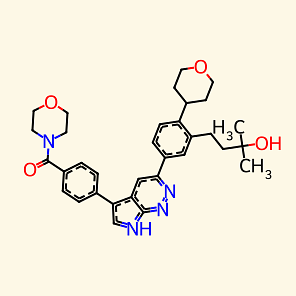 CC(C)(O)CCc1cc(-c2cc3c(-c4ccc(C(=O)N5CCOCC5)cc4)c[nH]c3nn2)ccc1C1CCOCC1